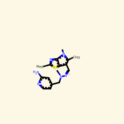 CSc1nc2c(s1)c(/C=N\N(C)Cc1ccnc(N)c1)c(C=O)n2C